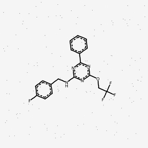 Fc1ccc(CNc2nc(OCC(F)(F)F)nc(-c3ccccc3)n2)cc1